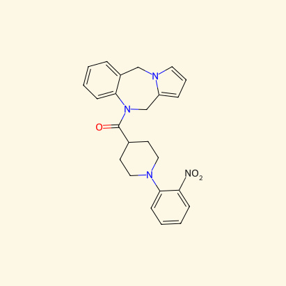 O=C(C1CCN(c2ccccc2[N+](=O)[O-])CC1)N1Cc2cccn2Cc2ccccc21